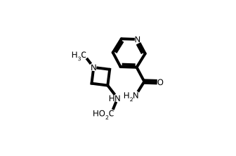 CN1CC(NC(=O)O)C1.NC(=O)c1cccnc1